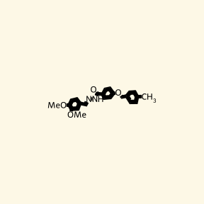 COc1ccc(/C=N/NC(=O)c2ccc(OCc3ccc(C)cc3)cc2)cc1OC